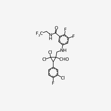 O=CC1(CNc2cc(F)c(F)c(C(=O)NCC(F)(F)F)c2)C(c2ccc(F)c(Cl)c2)C1(Cl)Cl